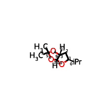 CC(C)[C@@H]1C[C@H]2OC(C)(C)O[C@H]2O1